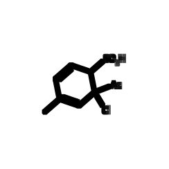 CC(=O)C1(Cl)C=C(C)C=CC1S(=O)(=O)O